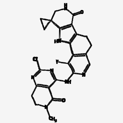 CN1CCc2nc(Cl)nc(Nc3ncc4c(c3F)-c3[nH]c5c(c3CC4)C(=O)NCC53CC3)c2C1=O